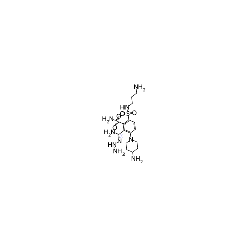 NCCCNS(=O)(=O)c1ccc(N2CCC(N)CC2)c(/C(N)=N/NN)c1S(N)(=O)=O